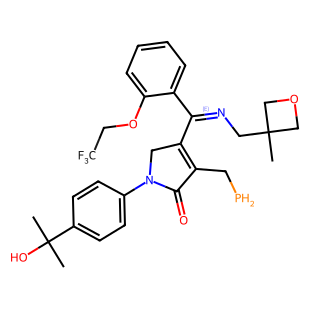 CC1(C/N=C(\C2=C(CP)C(=O)N(c3ccc(C(C)(C)O)cc3)C2)c2ccccc2OCC(F)(F)F)COC1